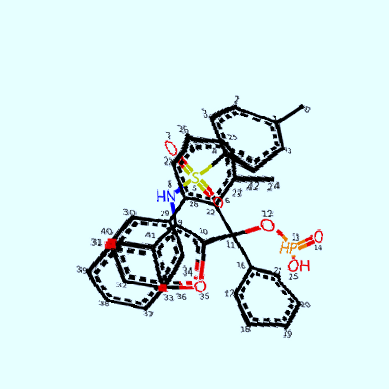 Cc1ccc(S(=O)(=O)Nc2c(C(O[PH](=O)O)(c3ccccc3)c3c(C)cccc3-c3ccccc3)oc3ccccc23)cc1